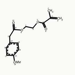 C=C(C)C(=O)OCCOC(=O)Cc1ccc(OC)cc1